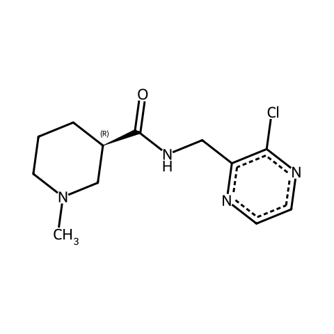 CN1CCC[C@@H](C(=O)NCc2nccnc2Cl)C1